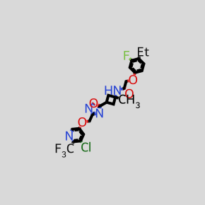 CCc1ccc(OCC(=O)NC2(C)CC(c3nc(COc4cnc(C(F)(F)F)c(Cl)c4)no3)C2)cc1F